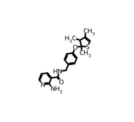 CC1=CSC(C)(Oc2ccc(CNC(=O)c3cccnc3N)cc2)C1C